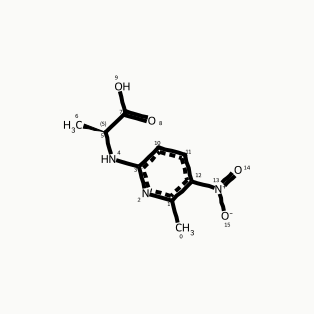 Cc1nc(N[C@@H](C)C(=O)O)ccc1[N+](=O)[O-]